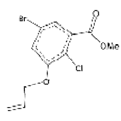 C=CCOc1cc(Br)cc(C(=O)OC)c1Cl